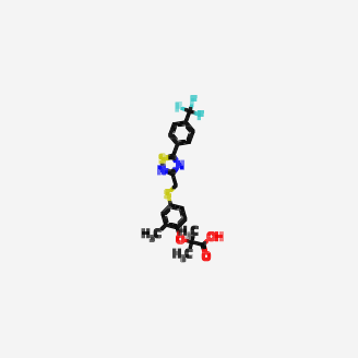 Cc1cc(SCc2nsc(-c3ccc(C(F)(F)F)cc3)n2)ccc1OC(C)(C)C(=O)O